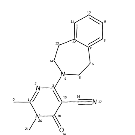 Cc1nc(N2CCc3ccccc3CC2)c(C#N)c(=O)n1C